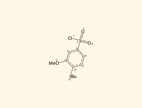 COc1cc(S(=O)(=O)Cl)ccc1C(C)(C)C